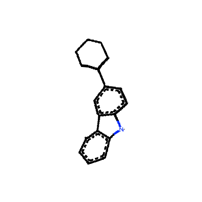 c1ccc2c(c1)[N]c1ccc(C3CCCCC3)cc1-2